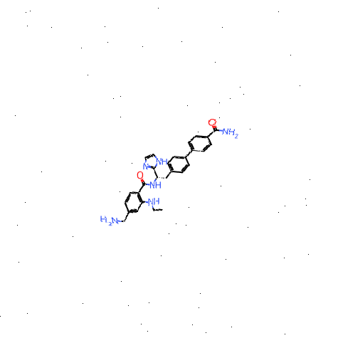 CCNc1cc(CN)ccc1C(=O)N[C@@H](Cc1ccc(-c2ccc(C(N)=O)cc2)cc1)c1ncc[nH]1